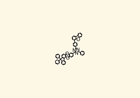 C1=CCCC(C2(c3ccccc3)c3ccccc3-c3c2ccc2c3Oc3ccc(-c4nc(-c5ccccc5)nc(-c5ccc(-c6cccc7c6oc6ccccc67)cc5)n4)cc3O2)=C1